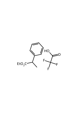 CCOC(=O)C(C)c1ccccc1.O=C(O)C(F)(F)F